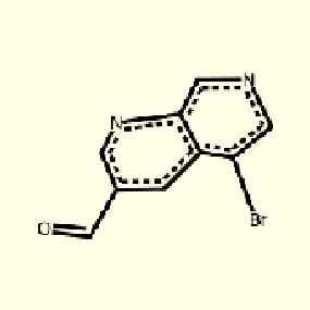 O=Cc1cnc2cncc(Br)c2c1